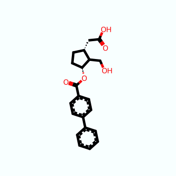 O=C(O)C[C@H]1CC[C@@H](OC(=O)c2ccc(-c3ccccc3)cc2)C1CO